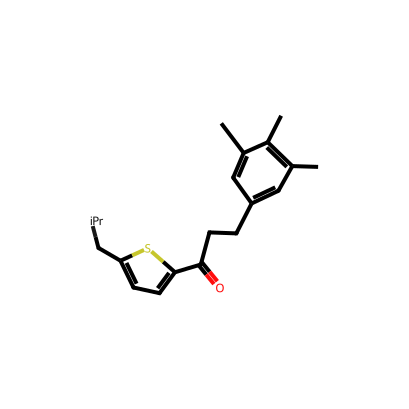 Cc1cc(CCC(=O)c2ccc(CC(C)C)s2)cc(C)c1C